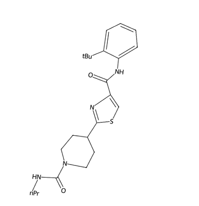 CCCNC(=O)N1CCC(c2nc(C(=O)Nc3ccccc3C(C)(C)C)cs2)CC1